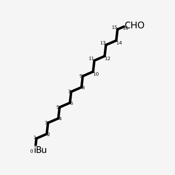 CCC(C)CCCCCCCCCCCCCCCC=O